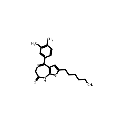 CCCCCCc1cc2c(s1)NC(=O)CN=C2c1ccc(C)c(C)c1